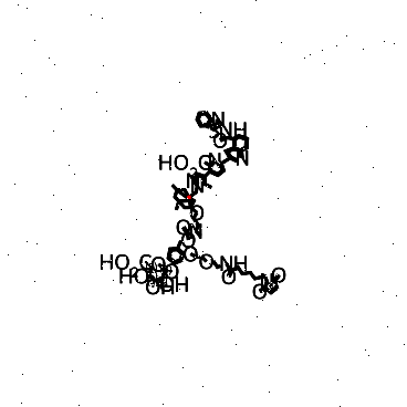 Cc1c(-c2ccc(-c3cnc4cccc(C(=O)Nc5nc6ccccc6s5)c4c3)nc2C(=O)O)cnn1CC12CC3(C)CC(C)(C1)CC(OCCN(C)C(=O)OCc1ccc(O[C@@H]4O[C@H](C(=O)O)[C@@H](O)[C@H](O)[C@H]4O)cc1OCCOCCNC(=O)CCCCCN1C(=O)C=CC1=O)(C3)C2